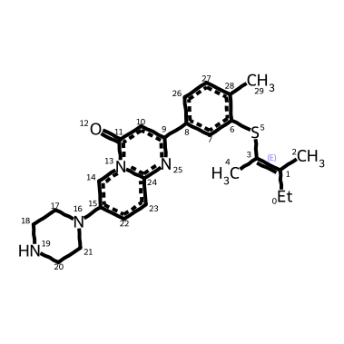 CC/C(C)=C(\C)Sc1cc(-c2cc(=O)n3cc(N4CCNCC4)ccc3n2)ccc1C